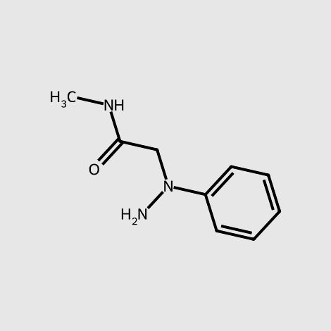 CNC(=O)CN(N)c1ccccc1